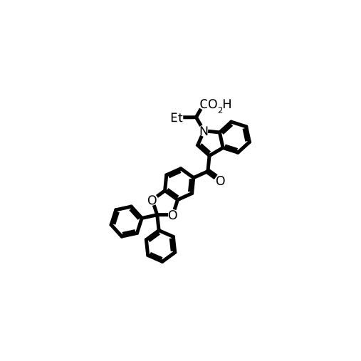 CCC(C(=O)O)n1cc(C(=O)c2ccc3c(c2)OC(c2ccccc2)(c2ccccc2)O3)c2ccccc21